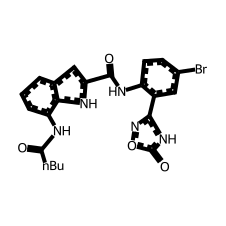 CCCCC(=O)Nc1cccc2cc(C(=O)Nc3ccc(Br)cc3-c3noc(=O)[nH]3)[nH]c12